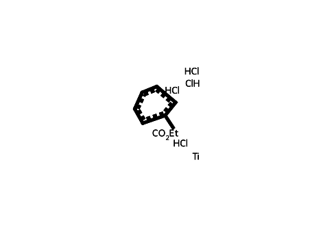 CCOC(=O)c1ccccc1.Cl.Cl.Cl.Cl.[Ti]